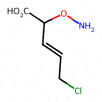 NOC(C=CCCl)C(=O)O